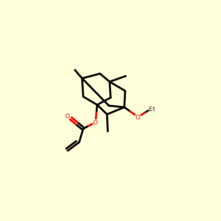 C=CC(=O)OC12CC3(C)CC(C)(CC(OCC)(C3)C1C)C2